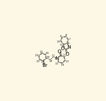 O=c1c(Oc2nc3ccccc3o2)cccn1CCc1ccccc1Br